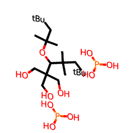 CC(C)(C)CC(C)(C)OC(C(C)(C)CC(C)(C)C)C(CO)(CO)CO.OP(O)O.OP(O)O